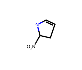 O=[N+]([O-])C1CC=C[N]1